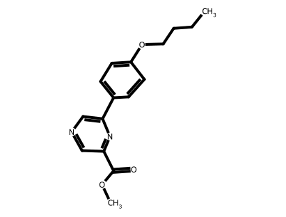 CCCCOc1ccc(-c2cncc(C(=O)OC)n2)cc1